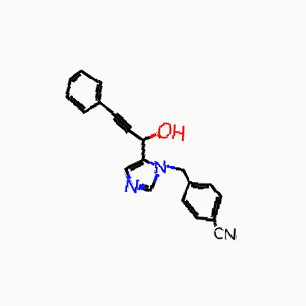 N#Cc1ccc(Cn2cncc2C(O)C#Cc2ccccc2)cc1